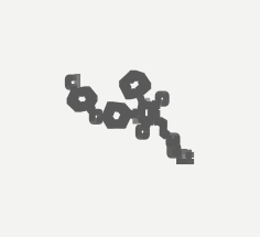 CCOOCCN1C(=O)[C@H](c2ccccc2)N(c2ccc(Oc3ccc(Cl)cc3)cc2)C1=O